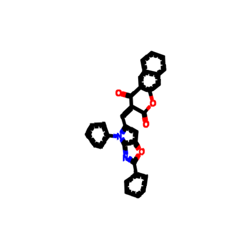 O=C1Oc2cc3ccccc3cc2C(=O)/C1=C/c1cc2oc(-c3ccccc3)nc2n1-c1ccccc1